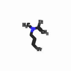 C=C(CC)N(C)C/C=C/C(C)C